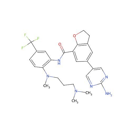 CN(C)CCCN(C)c1ccc(C(F)(F)F)cc1NC(=O)c1cc(-c2cnc(N)nc2)cc2c1OCC2